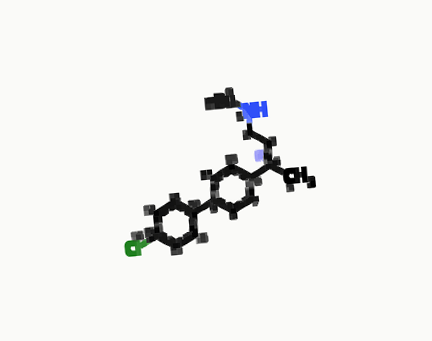 CCCCNC/C=C(/C)c1ccc(-c2ccc(Cl)cc2)cc1